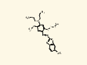 CCCN(CCC)c1cc(SOOO)c(/N=N/c2nc3ccc(C)cc3s2)cc1OC